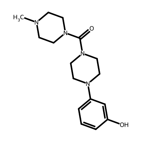 CN1CCN(C(=O)N2CCN(c3cccc(O)c3)CC2)CC1